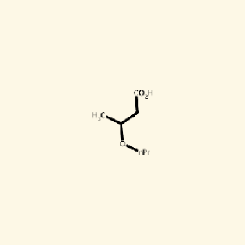 CCCOC(C)CC(=O)O